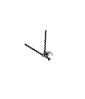 CCCCCCCCC=CCCCCCCCCOC(COCCN(C)C)C(OCCCCCCCCC=CCCCCCCCC)C(N)=O